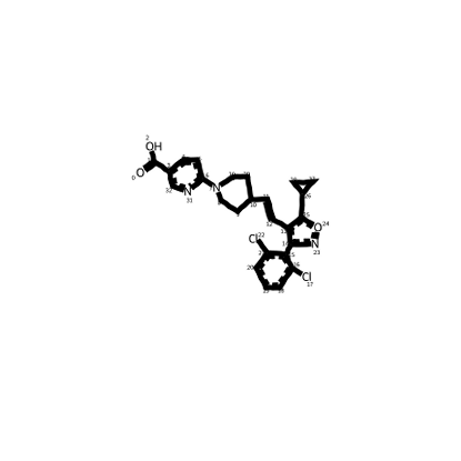 O=C(O)c1ccc(N2CCC(/C=C/c3c(-c4c(Cl)cccc4Cl)noc3C3CC3)CC2)nc1